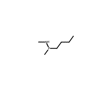 CCCCP(C)NC